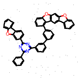 c1ccc(-c2nc(-c3cccc(-c4cccc(-c5cccc6oc7cc8oc9ccccc9c8cc7c56)c4)c3)nc(-c3ccc4c(c3)oc3ccccc34)n2)cc1